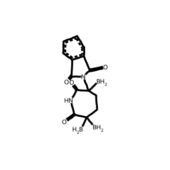 BC1(B)CCC(B)(N2C(=O)c3ccccc3C2=O)C(=O)NC1=O